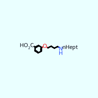 CCCCCCCNCCCCOc1cccc(C(=O)O)c1